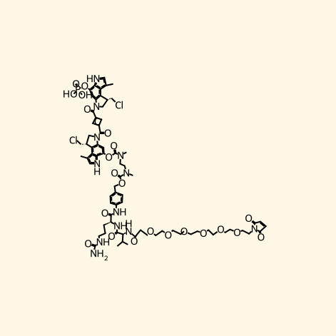 Cc1c[nH]c2c(OC(=O)N(C)CCN(C)C(=O)OCc3ccc(NC(=O)[C@H](CCCNC(N)=O)NC(=O)[C@@H](NC(=O)CCOCCOCCOCCOCCOCCOCCN4C(=O)C=CC4=O)C(C)C)cc3)cc3c(c12)[C@H](CCl)CN3C(=O)C12CC(C(=O)N3C[C@@H](CCl)c4c3cc(OP(=O)(O)O)c3[nH]cc(C)c43)(C1)C2